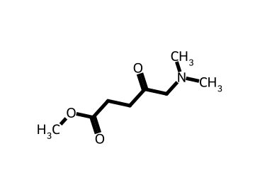 COC(=O)CCC(=O)CN(C)C